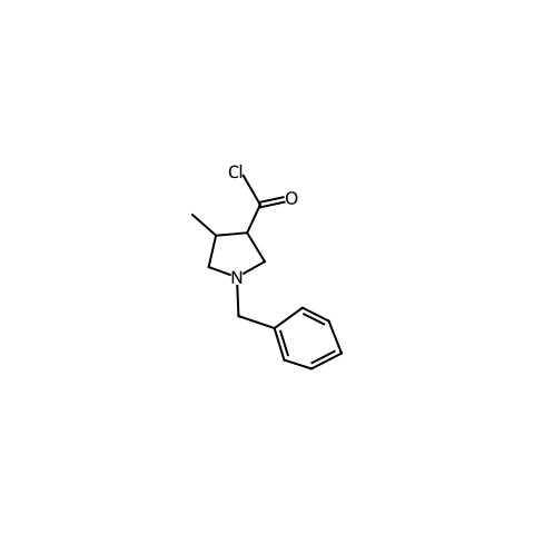 CC1CN(Cc2ccccc2)CC1C(=O)Cl